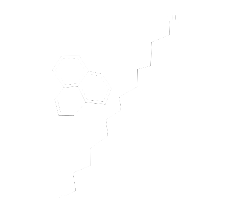 C1=Cc2cccc3cccc(c23)C1.[CH2]CCCCCCCCCCCCCC